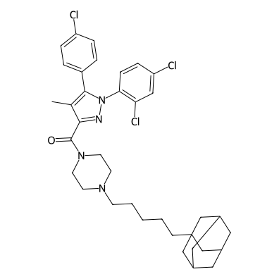 Cc1c(C(=O)N2CCN(CCCCCC34CC5CC(CC(C5)C3)C4)CC2)nn(-c2ccc(Cl)cc2Cl)c1-c1ccc(Cl)cc1